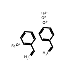 C=Cc1ccccc1.C=Cc1ccccc1.[Fe+3].[Fe+3].[O-2].[O-2].[O-2]